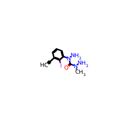 C#Cc1cccc(N(N)C(=O)N(C)N)c1I